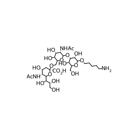 CC(=O)N[C@@H]1C(O[C@H]2[C@H](O)C(CO)OC(OCCCCCN)[C@H]2O)OC(CO[C@]2(C(=O)O)C[C@@H](O)[C@@H](NC(C)=O)C([C@H](O)[C@H](O)CO)O2)[C@@H](O)[C@@H]1O